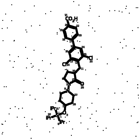 CC(C)[Si](OC1CCN(N2CCC(Cc3c(Cl)cc(-c4ccc(C(=O)O)cc4)cc3Cl)C2=O)CC1)(C(C)C)C(C)C